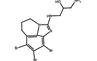 NCC(O)CNc1nc2c(Br)c(Br)c(Br)c3c2n1CCC3